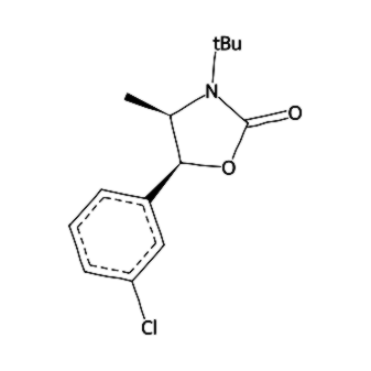 C[C@@H]1[C@H](c2cccc(Cl)c2)OC(=O)N1C(C)(C)C